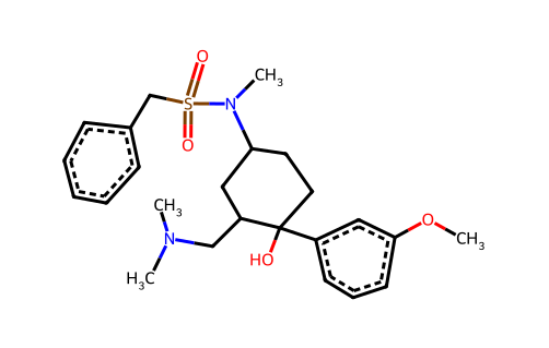 COc1cccc(C2(O)CCC(N(C)S(=O)(=O)Cc3ccccc3)CC2CN(C)C)c1